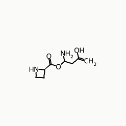 C=C(O)CC(N)OC(=O)[C@H]1CCN1